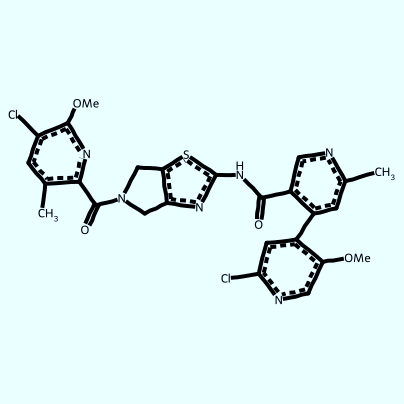 COc1cnc(Cl)cc1-c1cc(C)ncc1C(=O)Nc1nc2c(s1)CN(C(=O)c1nc(OC)c(Cl)cc1C)C2